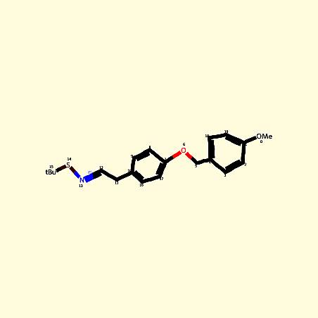 COc1ccc(COc2ccc(C/C=N/SC(C)(C)C)cc2)cc1